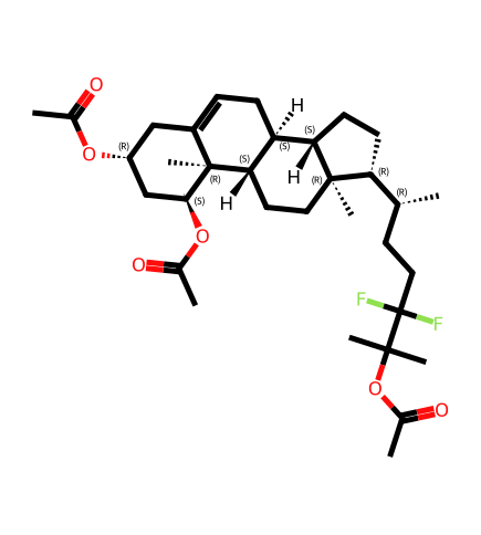 CC(=O)O[C@@H]1CC2=CC[C@H]3[C@@H]4CC[C@H]([C@H](C)CCC(F)(F)C(C)(C)OC(C)=O)[C@@]4(C)CC[C@@H]3[C@@]2(C)[C@@H](OC(C)=O)C1